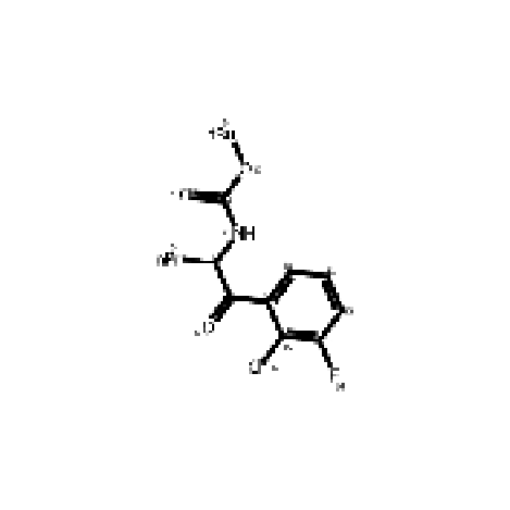 CCC[C@@H](NC(=O)OC(C)(C)C)C(=O)c1cccc(F)c1Cl